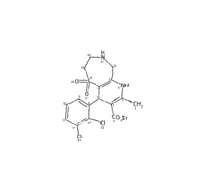 CCOC(=O)C1=C(C)NC2=C(C1c1cccc(Cl)c1Cl)S(=O)(=O)CCNC2